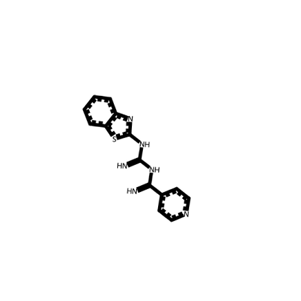 N=C(NC(=N)c1ccncc1)Nc1nc2ccccc2s1